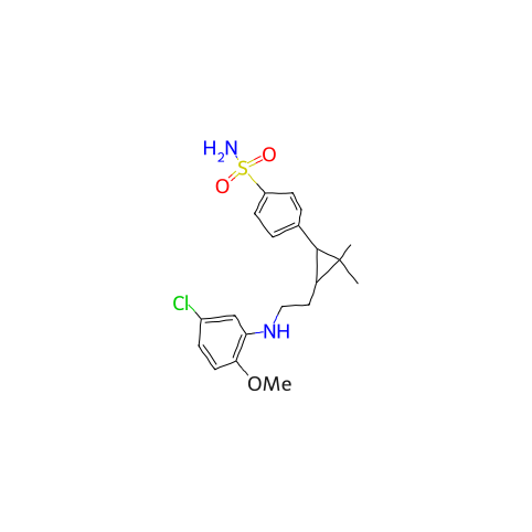 COc1ccc(Cl)cc1NCCC1C(c2ccc(S(N)(=O)=O)cc2)C1(C)C